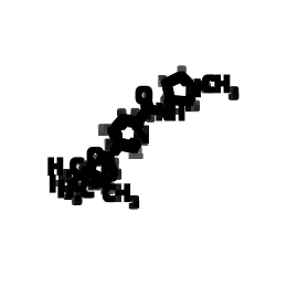 CN1CCC(NC(=O)c2ccc(B3OC(C)(C)C(C)(C)O3)cn2)C1